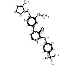 COc1cc(-n2ccnc(Sc3ccc(C(F)(F)F)cc3)c2=O)ccc1O[C@H]1CCC[C@H]1O